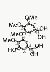 COc1cc(B(O)O)cc(OC)c1OC.COc1ccc(B(O)O)cc1O